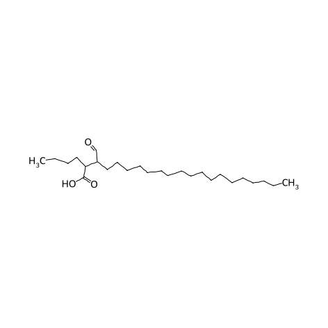 CCCCCCCCCCCCCCCCCCC(C=O)C(CCCC)C(=O)O